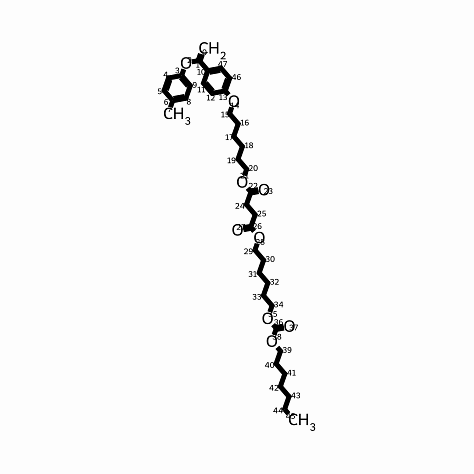 C=C(Oc1ccc(C)cc1)c1ccc(OCCCCCCOC(=O)CCC(=O)OCCCCCCOC(=O)OCCCCCCC)cc1